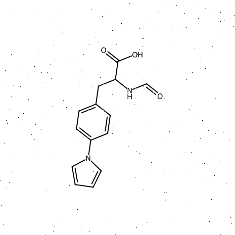 O=CNC(Cc1ccc(-n2cccc2)cc1)C(=O)O